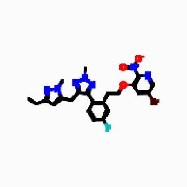 CCc1cc(Cc2nn(C)nc2-c2ccc(F)cc2CCOc2cc(Br)cnc2[N+](=O)[O-])n(C)n1